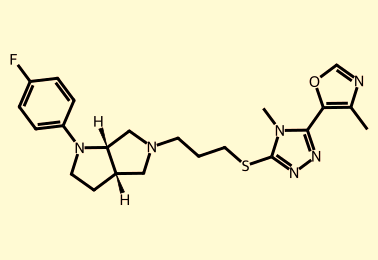 Cc1ncoc1-c1nnc(SCCCN2C[C@@H]3CCN(c4ccc(F)cc4)[C@@H]3C2)n1C